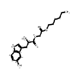 CCCCCCOC(=O)COC(=O)C(N)Cc1c[nH]c2ccc(O)cc12